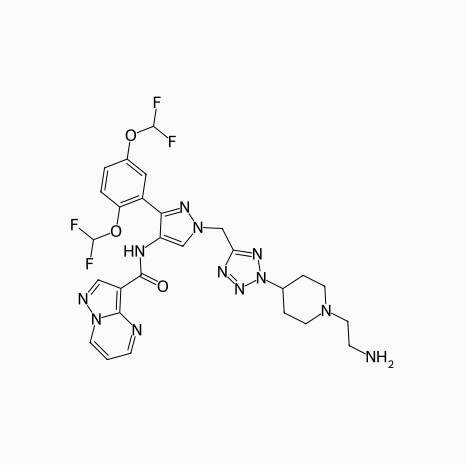 NCCN1CCC(n2nnc(Cn3cc(NC(=O)c4cnn5cccnc45)c(-c4cc(OC(F)F)ccc4OC(F)F)n3)n2)CC1